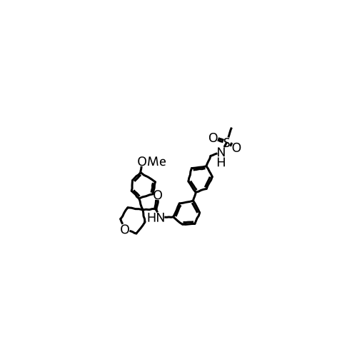 COc1ccc(C2(C(=O)Nc3cccc(-c4ccc(CNS(C)(=O)=O)cc4)c3)CCOCC2)cc1